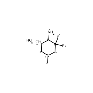 CN1CCC(N)C(F)(F)C1.Cl.Cl